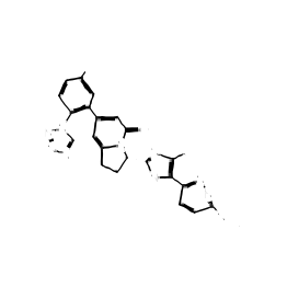 Nc1ccc(-c2[nH]c([C@@H]3CCc4cc(-c5cc(Cl)ccc5-n5cnnn5)cc(=O)n43)nc2Cl)nn1